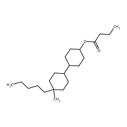 CCCCCC1(C)CCC(C2CCC(OC(=O)CCC)CC2)CC1